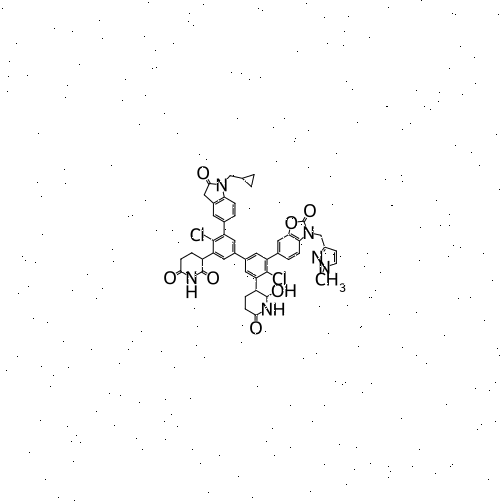 Cn1ccc(Cn2c(=O)oc3cc(-c4cc(-c5cc(-c6ccc7c(c6)CC(=O)N7CC6CC6)c(Cl)c(C6CCC(=O)NC6=O)c5)cc(C5CCC(=O)NC5O)c4Cl)ccc32)n1